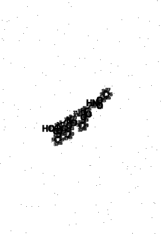 O=C(O)CN(CCCN(CCCCCN(CCCCNC(=O)OCc1ccccc1)C(=O)OCc1ccccc1)C(=O)OCc1ccccc1)C(=O)OCc1ccccc1